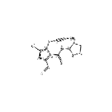 CC#CCn1c(Cl)nc(C=O)c1C(=O)OC1CCCC1